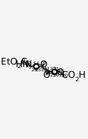 CCOC(=O)NN=Cc1ccc(C(=O)CCC(=O)c2ccc(OCC(=O)O)cc2)cc1